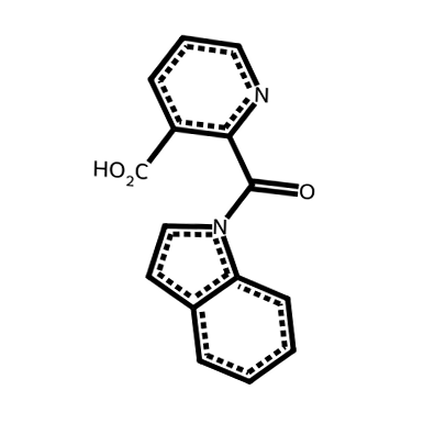 O=C(O)c1cccnc1C(=O)n1ccc2ccccc21